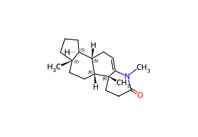 CN1C(=O)CC[C@@]2(C)C1=CC[C@@H]1[C@H]2CC[C@]2(C)CCC[C@@H]12